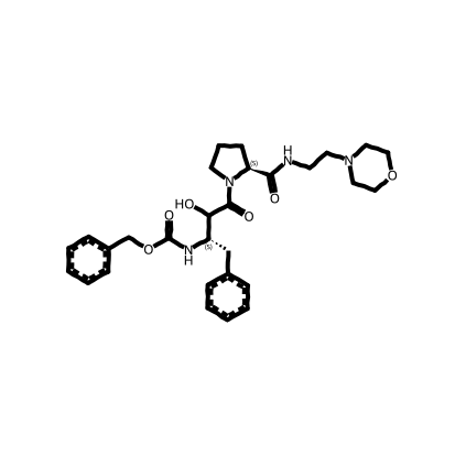 O=C(N[C@@H](Cc1ccccc1)C(O)C(=O)N1CCC[C@H]1C(=O)NCCN1CCOCC1)OCc1ccccc1